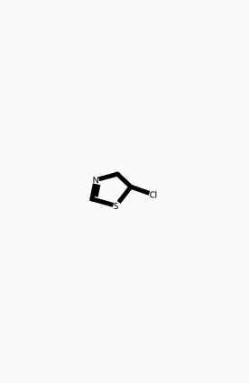 ClC1[CH]N=CS1